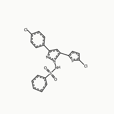 O=S(=O)(Nn1nc(-c2ccc(Cl)cc2)cc1-c1ccc(Cl)s1)c1ccccc1